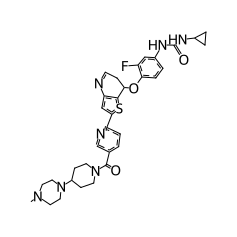 CN1CCN(C2CCN(C(=O)c3ccc(-c4cc5c(s4)C(Oc4ccc(NC(=O)NC6CC6)cc4F)CC=N5)nc3)CC2)CC1